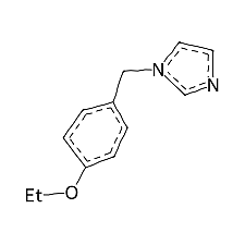 CCOc1ccc(Cn2ccnc2)cc1